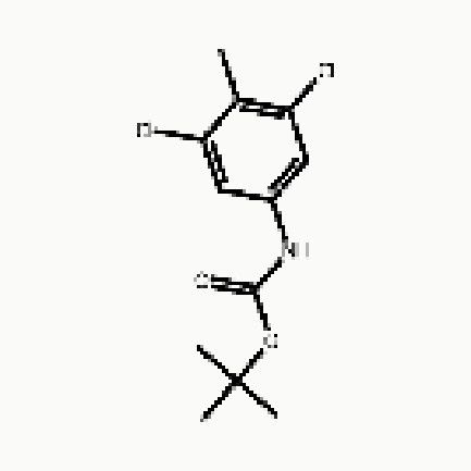 Cc1c(Cl)cc(NC(=O)OC(C)(C)C)cc1Cl